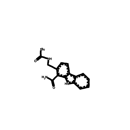 CC(C)(C)C(=O)NCc1ccc2c([nH]c3ccccc32)c1C(N)=O